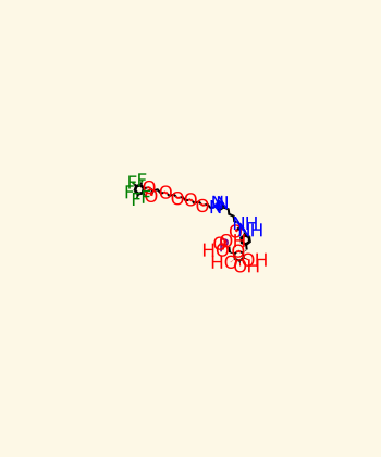 O=C(NCCCCc1cn(CCOCCOCCOCCOCCC(=O)Oc2c(F)c(F)c(F)c(F)c2F)nn1)Nc1ccc(C[C@H]2O[C@H](CCP(=O)(O)O)[C@@H](O)[C@H](O)[C@@H]2O)cc1